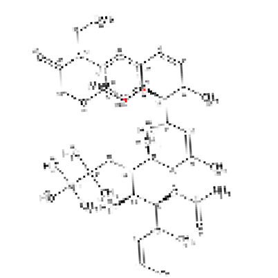 CC/C=C\C(C)[C@H](OC(N)=O)[C@@H](C)[C@H](CC(C)(C)[Si](C)(C)O)[C@@H](C)C/C(C)=C\[C@H](C)[C@@H](OCOC)C(C)/C=C\c1ccc2c(c1)N(COC)C(=O)CO2